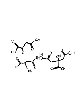 NC(CC(=O)O)C(=O)O.O=C(O)CC(=O)C(=O)O.O=C(O)CC(O)(CC(=O)O)C(=O)O